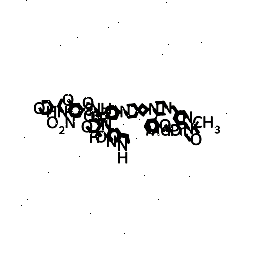 COc1cc(CN2CCN(C3CC4(CCN(c5ccc(C(=O)NS(=O)(=O)c6cc7c(c([N+](=O)[O-])c6)N[C@H](C6CCOCC6)CO7)c(N6c7cc8cc[nH]c8nc7O[C@H]7COCC[C@@H]76)c5)CC4)C3)[C@H](c3ccccc3OC(C)C)C2)cnc1N1CCOC[C@@H]1C